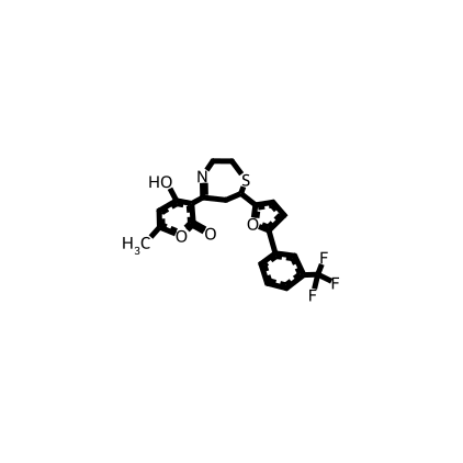 Cc1cc(O)c(C2=NCCSC(c3ccc(-c4cccc(C(F)(F)F)c4)o3)C2)c(=O)o1